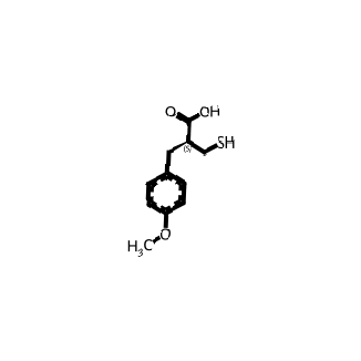 COc1ccc(C[C@H](CS)C(=O)O)cc1